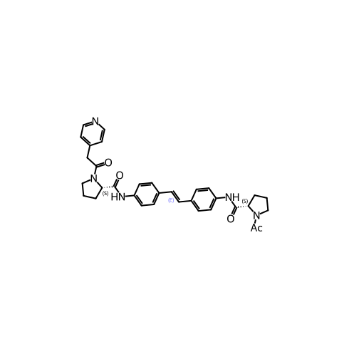 CC(=O)N1CCC[C@H]1C(=O)Nc1ccc(/C=C/c2ccc(NC(=O)[C@@H]3CCCN3C(=O)Cc3ccncc3)cc2)cc1